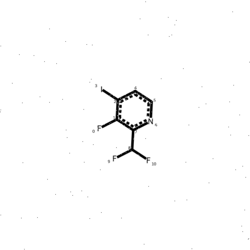 Fc1c(I)ccnc1C(F)F